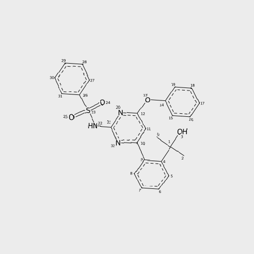 CC(C)(O)c1ccccc1-c1cc(Oc2ccccc2)nc(NS(=O)(=O)c2ccccc2)n1